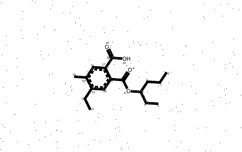 CCCC(CC)OC(=O)c1cc(CC)c(C)cc1C(=O)O